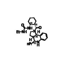 CCC[C@@H]1Nc2ccccc2[C@H]2[C@@H]1CCN2C(=O)[C@H]1CCCC[C@H]1NC(=O)NCC